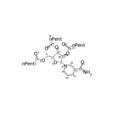 CCCCCC(=O)OCC1OC([n+]2cccc(C(N)=O)c2)[C@H](OC(=O)CCCCC)C1OC(=O)CCCCC